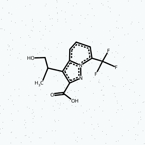 CC(CO)c1c(C(=O)O)nn2c(C(F)(F)F)cccc12